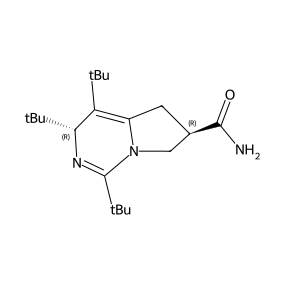 CC(C)(C)C1=N[C@H](C(C)(C)C)C(C(C)(C)C)=C2C[C@@H](C(N)=O)CN12